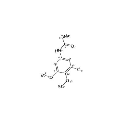 CCOc1cc(NC(=O)OC)cc(Cl)c1OCC